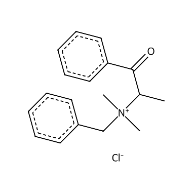 CC(C(=O)c1ccccc1)[N+](C)(C)Cc1ccccc1.[Cl-]